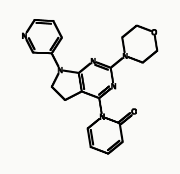 O=c1ccccn1-c1nc(N2CCOCC2)nc2c1CCN2c1cccnc1